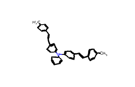 Cc1ccc(C=Cc2ccc(N(c3ccccc3)c3ccc(C=Cc4ccc(C)cc4)cc3)cc2)cc1